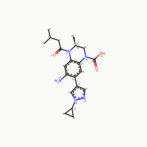 CC(C)CC(=O)N1c2cc(N)c(-c3cnn(C4CC4)c3)cc2N(C(=O)O)C[C@@H]1C